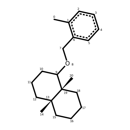 Cc1ccccc1COC1CCC[C@@]2(C)CCCC[C@@]12C